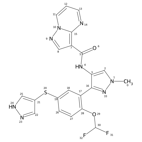 Cn1cc(NC(=O)c2cnn3cccnc23)c(-c2cc(Sc3cn[nH]c3)ccc2OC(F)F)n1